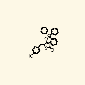 O=C1N=C(O[Si](c2ccccc2)(c2ccccc2)c2ccccc2)C(Cc2ccc(O)cc2)S1